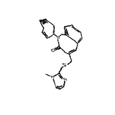 Cn1ccnc1SCc1cc2ccccc2n(-c2ccccc2)c1=O